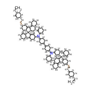 C=Cc1ccc(CSc2ccc(C3(c4ccc5ccccc5c4)c4ccccc4-c4ccc(N(c5ccccc5)c5ccc(-c6ccc(N(c7ccccc7)c7ccc8c(c7)C(c7ccc(SCc9ccc(C=C)cc9)cc7)(c7ccc9ccccc9c7)c7ccccc7-8)cc6)cc5)cc43)cc2)cc1